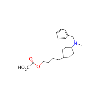 CN(Cc1ccccc1)C1CCC(CCCCOC(=O)C(=O)O)CC1